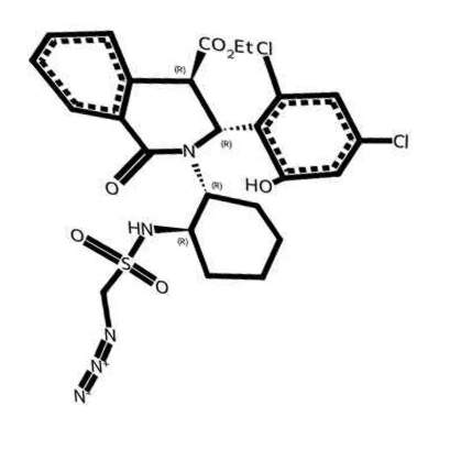 CCOC(=O)[C@@H]1c2ccccc2C(=O)N([C@@H]2CCCC[C@H]2NS(=O)(=O)CN=[N+]=[N-])[C@H]1c1c(O)cc(Cl)cc1Cl